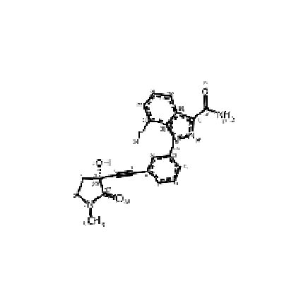 CN1CC[C@@](O)(C#Cc2cccc(-n3nc(C(N)=O)c4cccc(F)c43)c2)C1=O